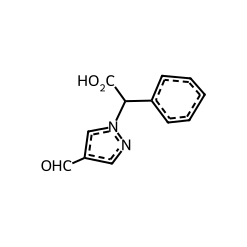 O=Cc1cnn(C(C(=O)O)c2ccccc2)c1